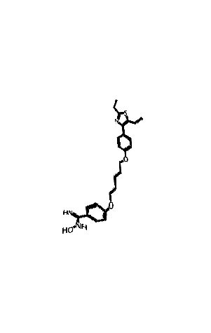 CCc1nc(-c2ccc(OCCCCCOc3ccc(C(=N)NO)cc3)cc2)c(CC)s1